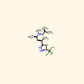 C=C(C)CN(C)C(=C)/C=C(\C)C1=NNC(C(F)(F)F)C1